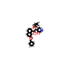 CC(C)(C)[Si](C)(C)OC(c1ccncc1)C(O)c1cccc2ccc(OCc3ccccc3)cc12